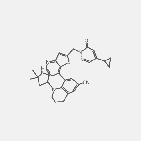 CC1(C)CC(N2CCCc3cc(C#N)cc(-c4ccnc5cc(Cn6ncc(C7CC7)cc6=O)sc45)c32)CN1